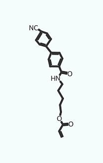 C=CC(=O)OCCCCCNC(=O)c1ccc(-c2ccc(C#N)cc2)cc1